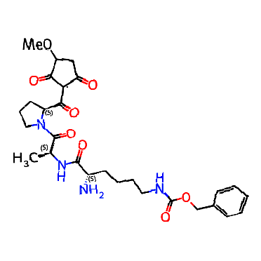 COC1CC(=O)[C](C(=O)[C@@H]2CCCN2C(=O)[C@H](C)NC(=O)[C@@H](N)CCCCNC(=O)OCc2ccccc2)C1=O